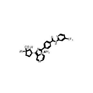 CC(C)[C@]1(C(=O)O)CC[C@@H](C2=C3C=NC=C[N+]3(N)C(c3ccc(C(=O)Nc4cc(C(F)(F)F)ccn4)cc3)=N2)C1